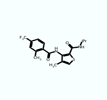 Cc1cc(C(F)(F)F)ccc1C(=O)Nc1c(C)csc1C(=O)NC(C)C